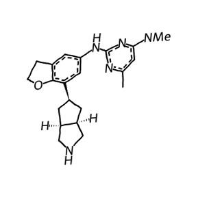 CNc1cc(C)nc(Nc2cc3c(c([C@H]4C[C@H]5CNC[C@H]5C4)c2)OCC3)n1